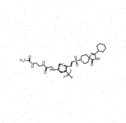 CC(=O)NCCNC(=O)CNc1ccc(C=CS(=O)(=O)N2CCC3(CC2)N=C(C2CCCCC2)NC3=O)c(C(F)(F)F)c1